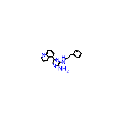 Nc1ncc(-c2cccc3ncccc23)nc1NCCCc1ccccc1